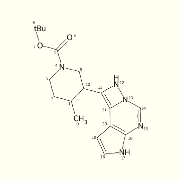 CC1CCN(C(=O)OC(C)(C)C)CC1c1[nH]n2cnc3[nH]ccc3c12